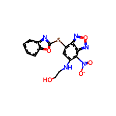 O=[N+]([O-])c1c(NCCO)cc(Sc2nc3ccccc3o2)c2nonc12